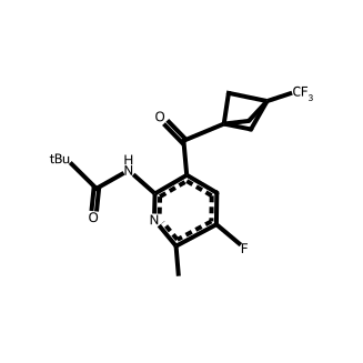 Cc1nc(NC(=O)C(C)(C)C)c(C(=O)C23CC(C(F)(F)F)(C2)C3)cc1F